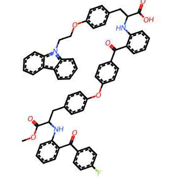 COC(=O)C(Cc1ccc(Oc2ccc(C(=O)c3ccccc3NC(Cc3ccc(OCCn4c5ccccc5c5ccccc54)cc3)C(=O)O)cc2)cc1)Nc1ccccc1C(=O)c1ccc(F)cc1